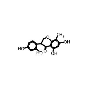 Cc1c(O)cc(O)c2c1OCC(c1ccc(O)cc1O)C2=O